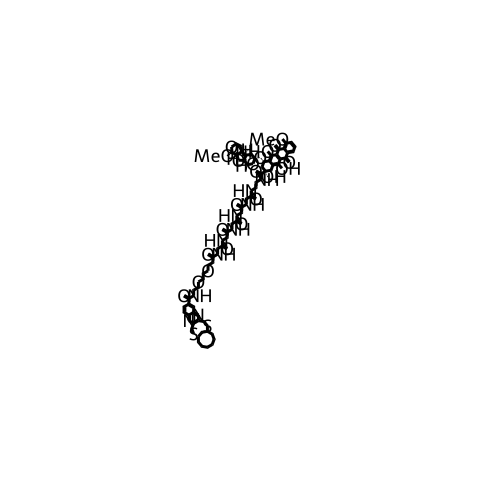 COc1cccc2c1C(=O)c1c(O)c3c(c(O)c1C2=O)C[C@@](O)(C(=O)NCCNC(=O)CNC(=O)CNC(=O)CNC(=O)CNC(=O)CNC(=O)CCOCCOCCNC(=O)c1ccc2nc4c(nc2c1)CSC1CCCCCCC(C1)SC4)C[C@@H]3O[C@H]1C[C@H]2[C@H](O[C@@H]3[C@@H](OC)OCCN32)[C@H](C)O1